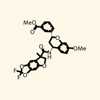 COC(=O)c1cccc([C@H]2C[C@@H](NC(=O)C3(C)COc4cc5c(cc43)OC(F)(F)O5)c3ccc(OC)cc3O2)c1